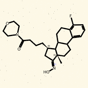 C[C@]12CCC3c4cccc(F)c4CCC3C1[C@H](CCCC(=O)N1CCOCC1)C/C2=N\O